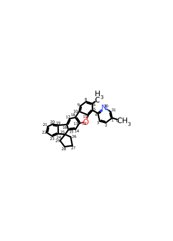 Cc1ccc(-c2c(C)ccc3c2oc2cc4c(cc23)-c2ccccc2C42CCCC2)nc1